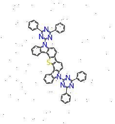 c1ccc(-c2nc(-c3ccccc3)nc(-n3c4ccccc4c4c5sc6c(ccc7c6c6ccccc6n7-c6nc(-c7ccccc7)nc(-c7ccccc7)n6)c5ccc43)n2)cc1